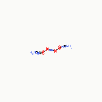 CCC(C)(CCC(=O)OCCCCOC(=O)CCN1CCN(CCC(=O)OCCCCOC(=O)CCNCc2ccc(N)cc2)CC1)NCc1ccc(N)cc1